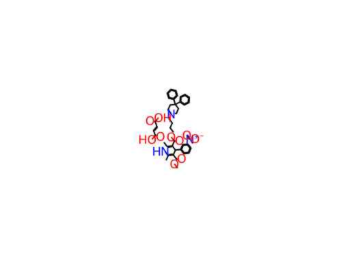 COC(=O)C1=C(C)NC(C)=C(C(=O)OCCCCN2CCC(c3ccccc3)(c3ccccc3)CC2)C1c1cccc([N+](=O)[O-])c1.O=C(O)/C=C/C(=O)O